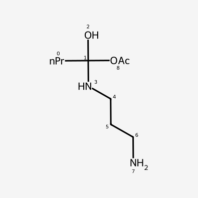 [CH2]CCC(O)(NCCCN)OC(C)=O